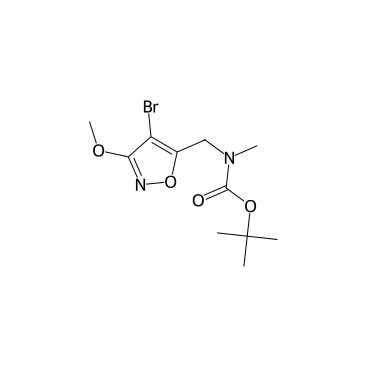 COc1noc(CN(C)C(=O)OC(C)(C)C)c1Br